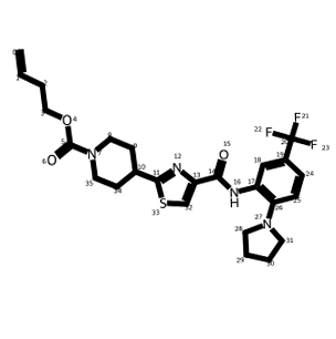 C=CCCOC(=O)N1CCC(c2nc(C(=O)Nc3cc(C(F)(F)F)ccc3N3CCCC3)cs2)CC1